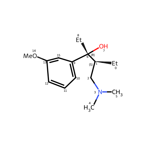 CC[C@@H](CN(C)C)[C@](O)(CC)c1cccc(OC)c1